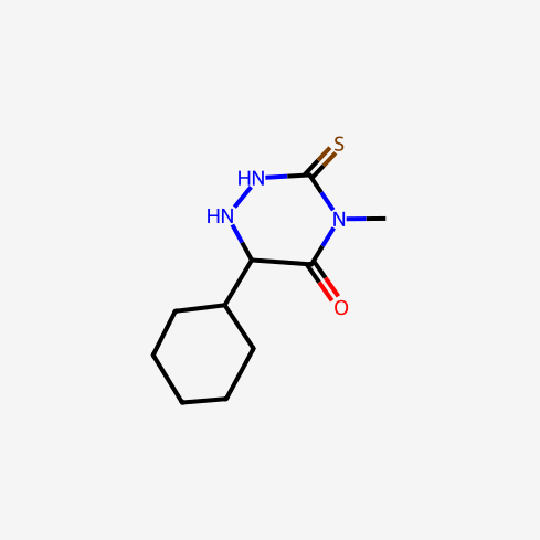 CN1C(=O)C(C2CCCCC2)NNC1=S